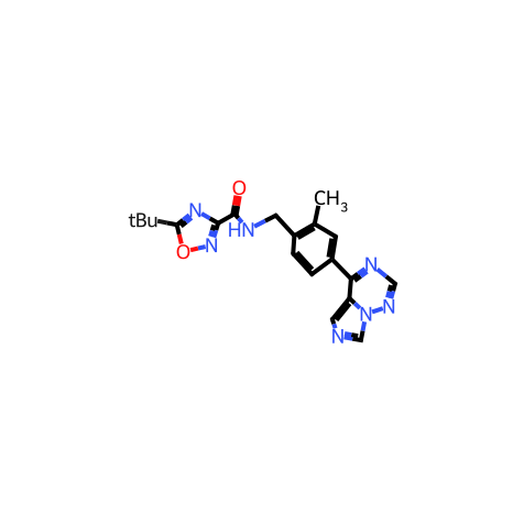 Cc1cc(-c2ncnn3cncc23)ccc1CNC(=O)c1noc(C(C)(C)C)n1